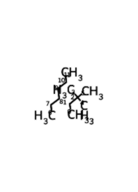 CCC(C)(C)C.CCCCCC